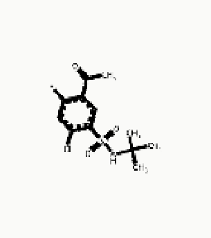 CC(=O)c1cc(S(=O)(=O)NC(C)(C)C)c(Cl)cc1F